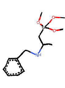 CO[Si](CC(C)NCc1ccccc1)(OC)OC